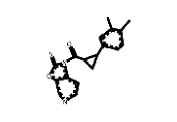 Cc1ccc(C2CC2C(=O)n2c(=S)oc3cnccc32)cc1C